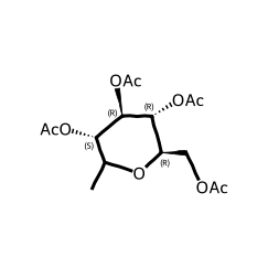 CC(=O)OC[C@H]1OC(C)[C@H](OC(C)=O)[C@@H](OC(C)=O)[C@@H]1OC(C)=O